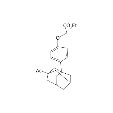 CCOC(=O)COc1ccc(C23CC4CC(CC(C(C)=O)(C4)C2)C3)cc1